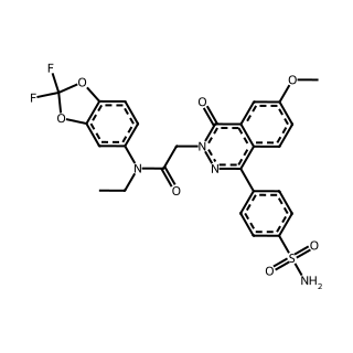 CCN(C(=O)Cn1nc(-c2ccc(S(N)(=O)=O)cc2)c2ccc(OC)cc2c1=O)c1ccc2c(c1)OC(F)(F)O2